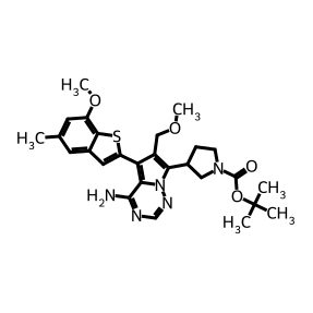 COCc1c(-c2cc3cc(C)cc(OC)c3s2)c2c(N)ncnn2c1C1CCN(C(=O)OC(C)(C)C)C1